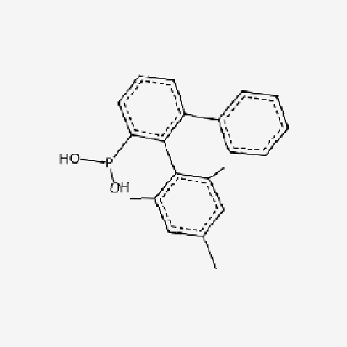 Cc1cc(C)c(-c2c(-c3ccccc3)cccc2P(O)O)c(C)c1